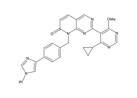 COc1ncnc(C2CC2)c1-c1ncc2ccc(=O)n(Cc3ccc(-c4cn(C(C)C)cn4)cc3)c2n1